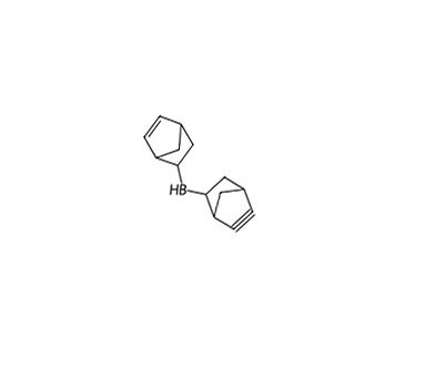 B(C1CC2C#CC1C2)C1CC2C=CC1C2